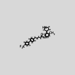 Cc1ccc(NC(=O)CCCCc2ccc(-c3ccc(C(F)(F)F)cc3)cc2)cc1C1CCNCC1